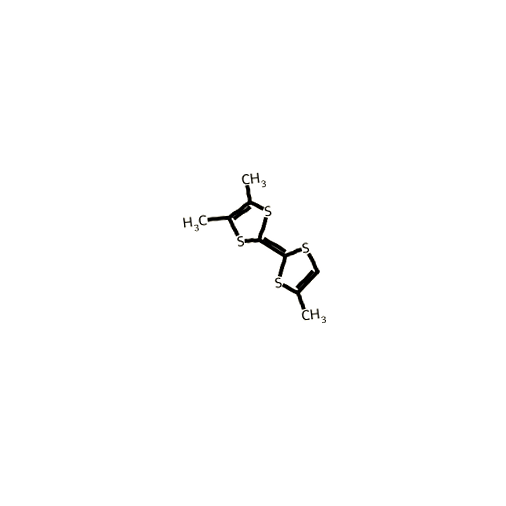 CC1=CSC(=C2SC(C)=C(C)S2)S1